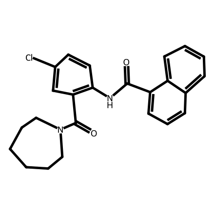 O=C(Nc1ccc(Cl)cc1C(=O)N1CCCCCC1)c1cccc2ccccc12